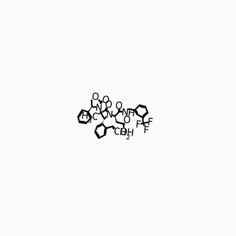 C=Cc1ccccc1[C@H]1N([C@H](CC(=O)O)C(=O)NCc2cccc(C(F)(F)F)c2)C(=O)[C@@]1(C)N1C(=O)OC[C@@H]1c1ccccc1